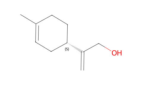 C=C(CO)[C@@H]1CC=C(C)CC1